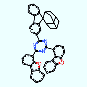 c1ccc2c(c1)-c1ccc(-c3nc(-c4cccc5c4oc4ccccc45)nc(-c4cccc5oc6ccccc6c45)n3)cc1C21C2CC3CC(C2)CC1C3